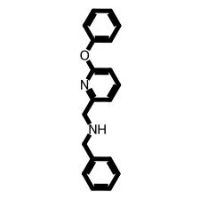 c1ccc(CNCc2cccc(Oc3ccccc3)n2)cc1